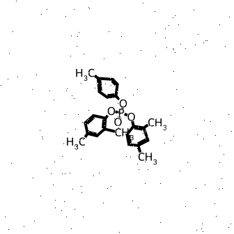 Cc1ccc(OP(=O)(Oc2ccc(C)cc2C)Oc2ccc(C)cc2C)cc1